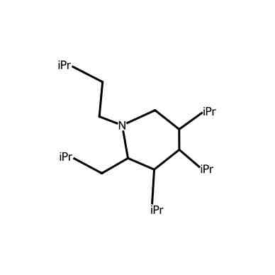 CC(C)CCN1CC(C(C)C)C(C(C)C)C(C(C)C)C1CC(C)C